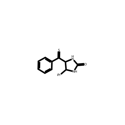 CC(C)C1NC(=O)NC1C(=S)c1ccccc1